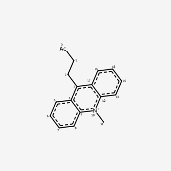 CC(=O)CCc1c2ccccc2[n+](C)c2ccccc12